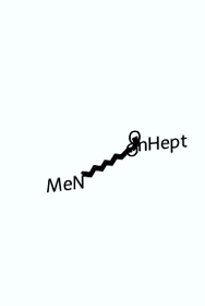 CCCCCCCC(=O)OCCCCCCCCCNC